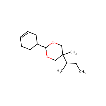 CCC(C)C1(C)COC(C2CC=CCC2)OC1